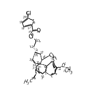 COc1ccc2c3c1OC1C[C@@H](CCOC(=O)c4ccc(Cl)s4)C=C[C@@]31CCN(C)C2